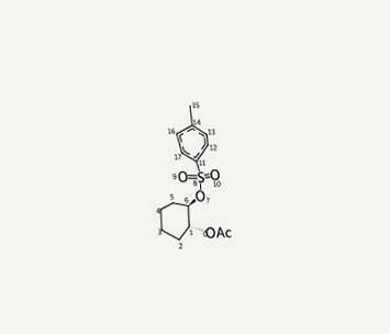 CC(=O)O[C@@H]1CCCC[C@H]1OS(=O)(=O)c1ccc(C)cc1